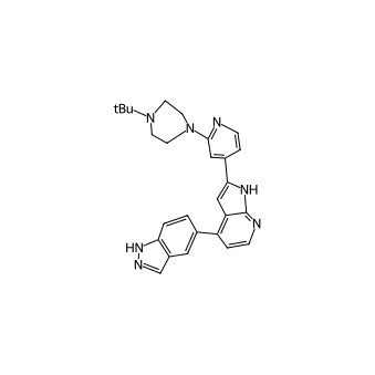 CC(C)(C)N1CCN(c2cc(-c3cc4c(-c5ccc6[nH]ncc6c5)ccnc4[nH]3)ccn2)CC1